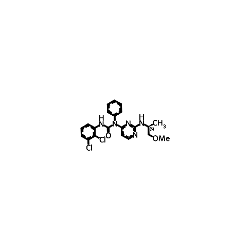 COC[C@H](C)Nc1nccc(N(C(=O)Nc2cccc(Cl)c2Cl)c2ccccc2)n1